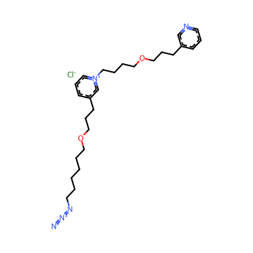 [Cl-].[N-]=[N+]=NCCCCCCOCCCc1ccc[n+](CCCCOCCCc2cccnc2)c1